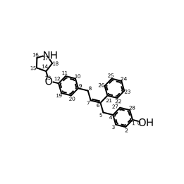 Oc1ccc(CC(=CCc2ccc(OC3CCNC3)cc2)c2ccccc2)cc1